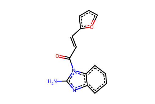 Nc1nc2ccccc2n1C(=O)C=Cc1ccco1